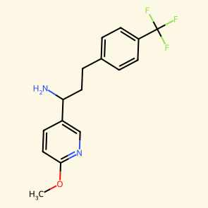 COc1ccc(C(N)CCc2ccc(C(F)(F)F)cc2)cn1